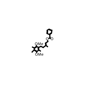 COc1c(C)c(C)c(OC)c(CCC(C)=CCOC(=O)c2ccccc2)c1C